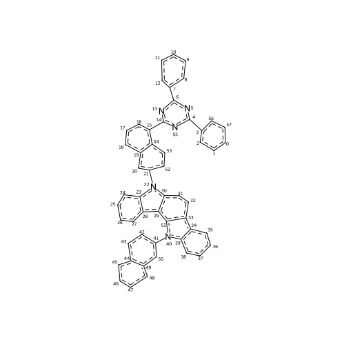 c1ccc(-c2nc(-c3ccccc3)nc(-c3cccc4cc(-n5c6ccccc6c6c5ccc5c7ccccc7n(-c7ccc8ccccc8c7)c56)ccc34)n2)cc1